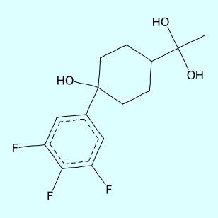 CC(O)(O)C1CCC(O)(c2cc(F)c(F)c(F)c2)CC1